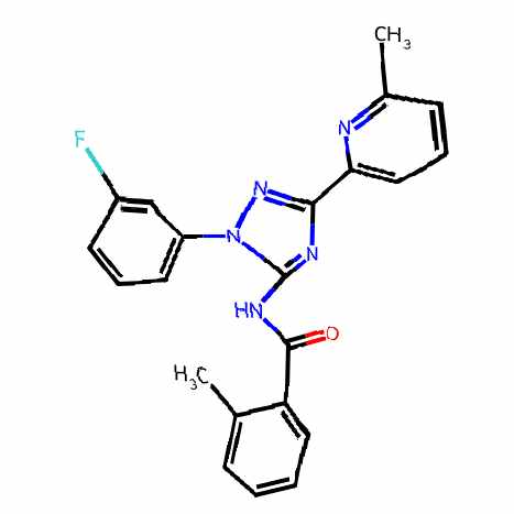 Cc1cccc(-c2nc(NC(=O)c3ccccc3C)n(-c3cccc(F)c3)n2)n1